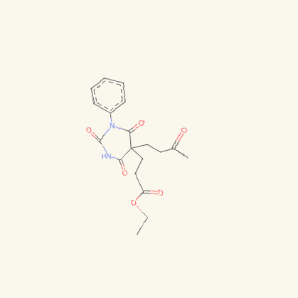 CCOC(=O)CCC1(CCC(C)=O)C(=O)NC(=O)N(c2ccccc2)C1=O